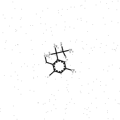 FC(F)(F)c1[c]c(I)c(CC(Cl)(Cl)Cl)c(C(F)(C(F)(F)F)C(F)(F)C(F)(F)F)c1